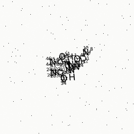 CCOc1cc(N(CC)CC)ccc1C=NN=C(NN=Cc1ccc(N(CC)CC)cc1OCC)NN=Cc1ccc(N(CC)CC)cc1OCC